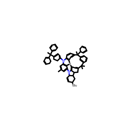 Cc1cc2c3c(c1)N1C4=C5C=C(CC4C4CC(C(C)(C)C)C=CC41)C(C)(C)c1cccc(c1)C(C)(C1C=CC=CC1)c1ccc(c(c1)B53)N2C1=CC=C(C(C)(C2=CC=CCC2)c2ccccc2)CC1